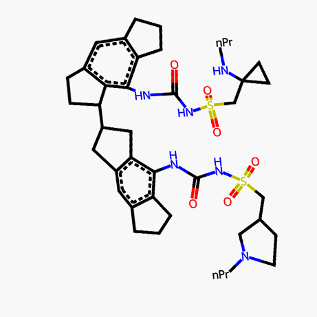 CCCNC1(CS(=O)(=O)NC(=O)Nc2c3c(cc4c2C(C2Cc5cc6c(c(NC(=O)NS(=O)(=O)CC7CCN(CCC)C7)c5C2)CCC6)CC4)CCC3)CC1